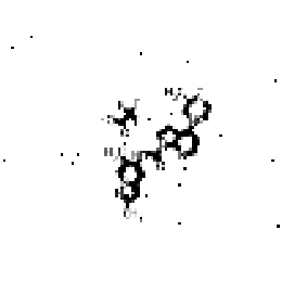 Cc1cc2cc(NC(=O)N3CCc4c(N5CCN[C@@H](C)C5)ccnc43)c(C)cn2n1.O=C(O)C(F)(F)F